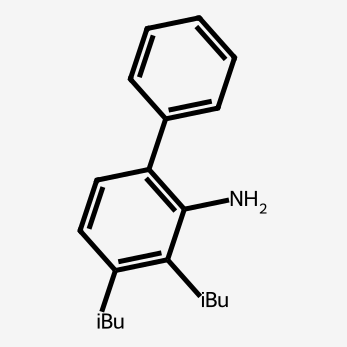 CCC(C)c1ccc(-c2ccccc2)c(N)c1C(C)CC